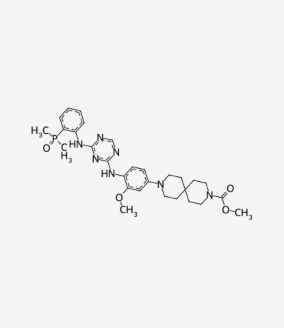 COC(=O)N1CCC2(CC1)CCN(c1ccc(Nc3ncnc(Nc4ccccc4P(C)(C)=O)n3)c(OC)c1)CC2